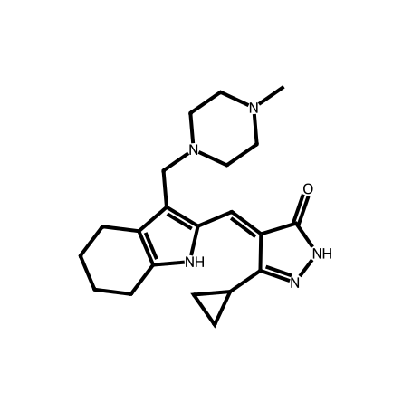 CN1CCN(Cc2c(C=C3C(=O)NN=C3C3CC3)[nH]c3c2CCCC3)CC1